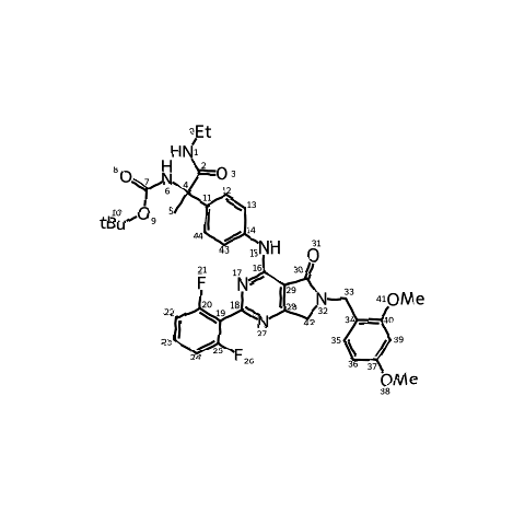 CCNC(=O)C(C)(NC(=O)OC(C)(C)C)c1ccc(Nc2nc(-c3c(F)cccc3F)nc3c2C(=O)N(Cc2ccc(OC)cc2OC)C3)cc1